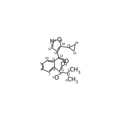 CC(C)S(=O)(=O)c1ccccc1C(=O)c1cnoc1C1CC1